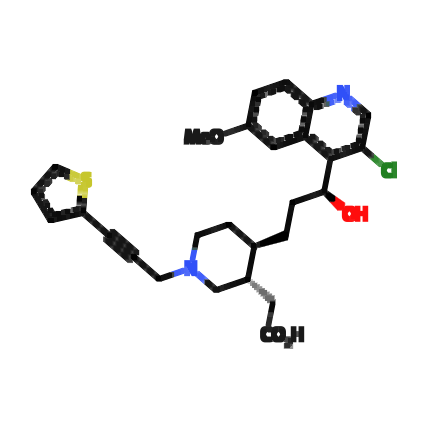 COc1ccc2ncc(Cl)c([C@@H](O)CC[C@@H]3CCN(CC#Cc4cccs4)C[C@H]3CC(=O)O)c2c1